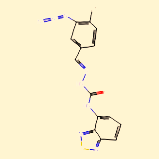 COc1ccc(/C=N/NC(=O)Nc2cccc3nsnc23)cc1N=[N+]=[N-]